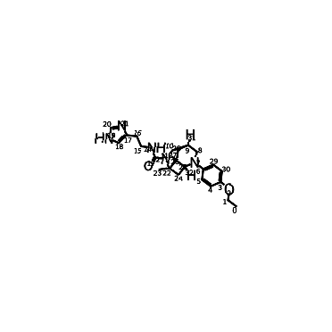 CCOc1ccc(N2C[C@H]3CN(C(=O)NCCc4c[nH]cn4)C4(C)C[C@@H]2C4(C)C3)cc1